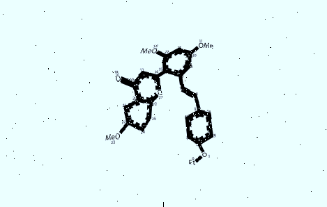 CCOc1ccc(C=Cc2cc(OC)cc(OC)c2-c2cc(=O)c3cc(OC)ccc3o2)cc1